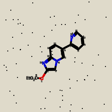 CCOC(=O)Oc1cn2cc(-c3ccccn3)ccc2n1